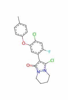 Cc1ccc(Oc2cc(-c3c(Cl)n4n(c3=O)CCCC4)c(F)cc2Cl)cc1